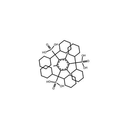 Cc1c(C(C2CCCCC2)(C2CCCCC2)P(=O)(O)O)c(C)c(C(C2CCCCC2)(C2CCCCC2)P(=O)(O)O)c(C)c1C(C1CCCCC1)(C1CCCCC1)P(=O)(O)O